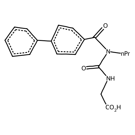 CCCN(C(=O)NCC(=O)O)C(=O)c1ccc(-c2ccccc2)cc1